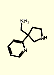 NCC1(c2ccccn2)CCNC1